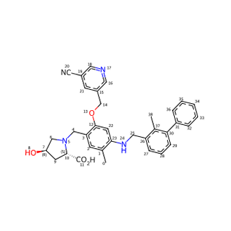 Cc1cc(CN2C[C@H](O)C[C@H]2C(=O)O)c(OCc2cncc(C#N)c2)cc1NCc1cccc(-c2ccccc2)c1C